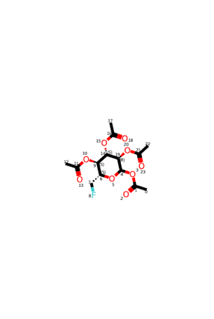 CC(=O)OC1O[C@H](CF)[C@@H](OC(C)=O)[C@H](OC(C)=O)[C@H]1OC(C)=O